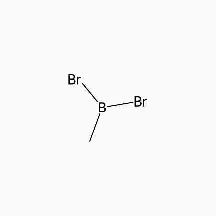 CB(Br)Br